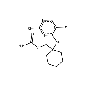 NC(=O)OCC1(Nc2nc(Cl)ncc2Br)CCCCC1